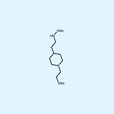 CSCCN1CCC(CCNSC)CC1